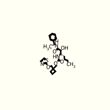 CCCC[C@H](NC(=O)OCC1(COc2nccs2)CCC1)C(O)C(=O)N[C@H](C)c1ccccc1